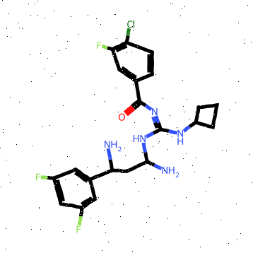 NC(CC(N)c1cc(F)cc(F)c1)N/C(=N\C(=O)c1ccc(Cl)c(F)c1)NC1CCC1